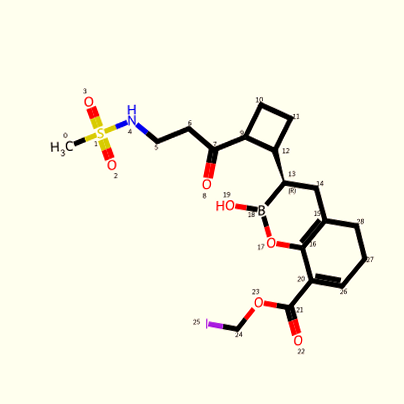 CS(=O)(=O)NCCC(=O)C1CCC1[C@H]1CC2=C(OB1O)C(C(=O)OCI)=CCC2